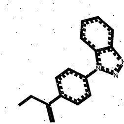 C=C(CC)c1ccc(-n2nnc3ccccc32)cc1